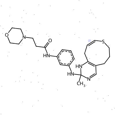 CC1(Nc2cccc(NC(=O)CCN3CCOCC3)c2)N=CC2=C(C/C=C\SCCC2)N1